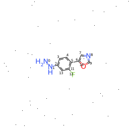 NNc1ccc(-c2cnco2)c(F)c1